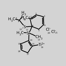 CC1=CC=CCC1(SC(C)C)[Si](C)(C)C1=[C]([Ti+2])CC=C1.[Cl-].[Cl-]